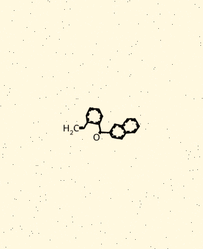 C=Cc1ccccc1C(=O)c1ccc2ccccc2c1